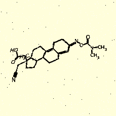 CN(C)C(=O)ON=C1C=C2CCC3C(=C2CC1)CC[C@@]1(C)C3CC[C@]1(CC#N)CC(=O)O